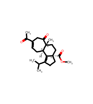 COC(=O)[C@]12CCC(C(C)C)=C1[C@H]1CC=C(C(C)=O)CC(=O)[C@]1(C)CC2